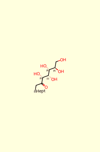 CCCCCCCCC(=O)[C@H](O)[C@@H](O)[C@H](O)[C@H](O)CO